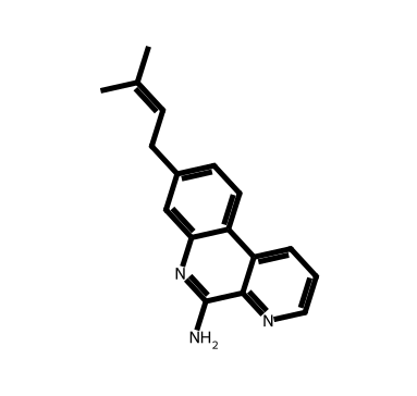 CC(C)=CCc1ccc2c(c1)nc(N)c1ncccc12